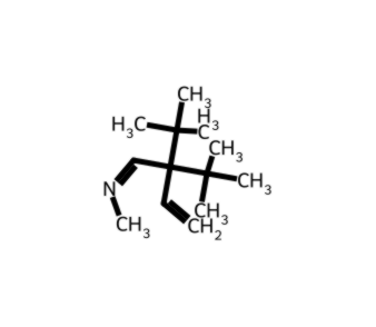 C=CC(/C=N\C)(C(C)(C)C)C(C)(C)C